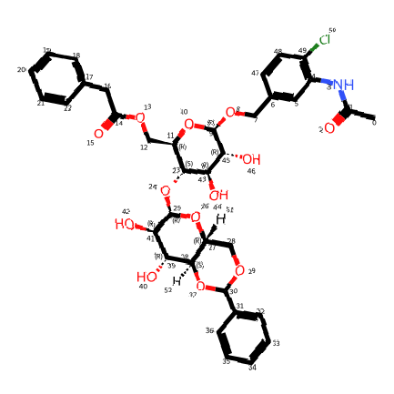 CC(=O)Nc1cc(CO[C@@H]2O[C@H](COC(=O)Cc3ccccc3)[C@@H](O[C@H]3O[C@@H]4COC(c5ccccc5)O[C@H]4[C@H](O)[C@H]3O)[C@H](O)[C@H]2O)ccc1Cl